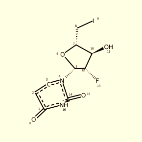 O=c1ccn([C@@H]2O[C@H](CI)[C@@H](O)[C@@H]2F)c(=O)[nH]1